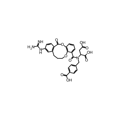 N=C(N)Nc1ccc2c(c1)CCCOc1c(cccc1C(=O)N(Cc1ccc(C(=O)O)cc1)C(CC(=O)O)C(=O)O)OC2=O